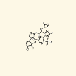 Cc1nc(C(OC2COC2C)[C@@H](O)Cn2cc(-c3ccc(Cl)c(F)c3F)cn2)n(-c2cc(Cl)cnc2C(F)(F)F)n1